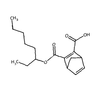 CCCCCC(CC)OC(=O)C1=C(C(=O)O)C2C=CC1C2